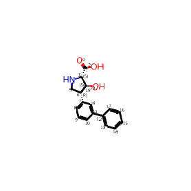 O=C(O)[C@H]1NC[C@@H](c2cccc(-c3ccccc3)c2)[C@@H]1O